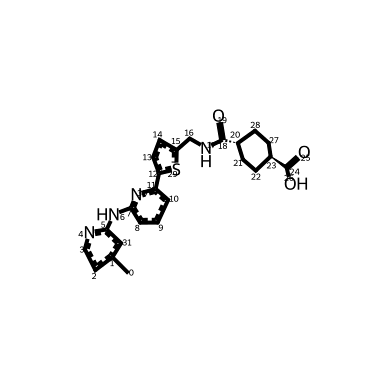 Cc1ccnc(Nc2cccc(-c3ccc(CNC(=O)[C@H]4CC[C@H](C(=O)O)CC4)s3)n2)c1